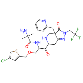 CC(C)(N)C(=O)NC(COCc1cc(Cl)cs1)C(=O)C1CC2=NN(CC(F)(F)F)C(=O)C2(Cc2ccccn2)CN1